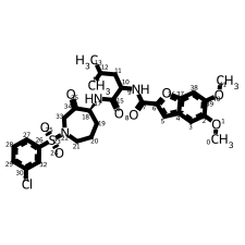 COc1cc2cc(C(=O)NC(CC(C)C)C(=O)N[C@H]3CCCN(S(=O)(=O)c4cccc(Cl)c4)CC3=O)oc2cc1OC